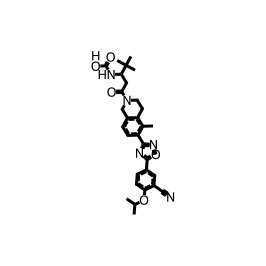 Cc1c(-c2noc(-c3ccc(OC(C)C)c(C#N)c3)n2)ccc2c1CCN(C(=O)CC(NC(=O)O)C(C)(C)C)C2